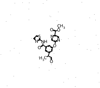 COC(=O)c1cnc(Oc2cc(C(=O)Nc3nccs3)cc(C(C)C=O)c2)cn1